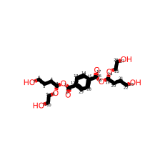 O=C(OC(CCCO)OCCO)c1ccc(C(=O)OC(CCCO)OCCO)cc1